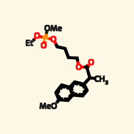 CCOP(=O)(OC)OCCCCOC(=O)C(C)c1ccc2cc(OC)ccc2c1